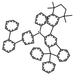 CC1(C)CCC(C)(C)c2cc(-c3cc4c(cc3N(c3ccccc3)c3ccc(-c5ccccc5-c5ccccc5)cc3)C(c3ccccc3)(c3ccccc3)c3ccccc3-4)ccc21